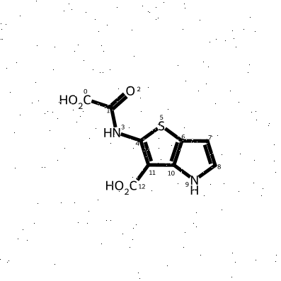 O=C(O)C(=O)Nc1sc2cc[nH]c2c1C(=O)O